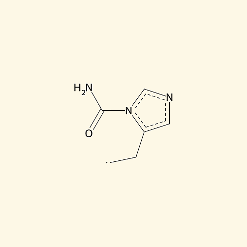 [CH2]Cc1cncn1C(N)=O